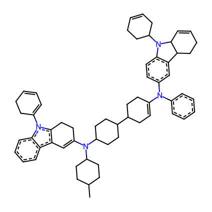 CC1CCC(N(C2=Cc3c(n(C4=CC=CCC4)c4ccccc34)CC2)C2CCC(C3CC=C(N(c4ccccc4)c4ccc5c(c4)C4CCC=CC4N5C4CC=CCC4)CC3)CC2)CC1